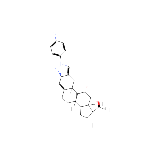 CCC(=O)[C@@]1(C)[C@H](C)C[C@H]2[C@@H]3CCC4=Cc5nn(-c6ccc(N)cc6)cc5C[C@]4(C)[C@H]3[C@@H](O)C[C@@]21C